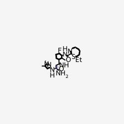 CCc1cccccnc(C(=O)Nc2c(F)ccc(C(=N)/C=C(/Nc3cc(C)n(C)n3)C(N)=O)c2C)s1